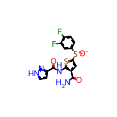 NC(=O)c1cc([S+]([O-])c2ccc(F)c(F)c2)sc1NC(=O)c1cc[nH]n1